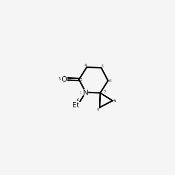 CCN1C(=O)CCCC12CC2